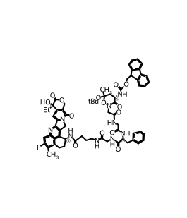 CC[C@@]1(O)C(=O)OCc2c1cc1n(c2=O)Cc2c-1nc1cc(F)c(C)c3c1c2[C@@H](NC(=O)CCCNC(=O)CNC(=O)[C@H](Cc1ccccc1)NC(=O)CNC(=O)CN1OC(C)(OC(C)(C)C)C[C@H](NC(=O)OCC2c4ccccc4-c4ccccc42)C1=O)CC3